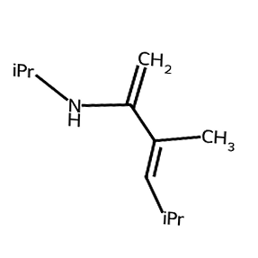 C=C(NC(C)C)/C(C)=C/C(C)C